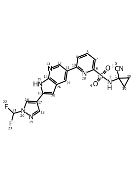 N#CC1(NS(=O)(=O)c2cccc(-c3cnc4[nH]c(-c5cnn(C(F)F)c5)cc4c3)n2)CC1